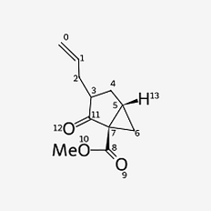 C=CCC1C[C@@H]2C[C@]2(C(=O)OC)C1=O